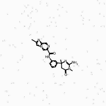 Cc1cn2cc(C(=O)Nc3cccc(C4(C)CC(=O)N(C)C(N)=N4)c3)ncc2n1